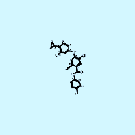 Cc1ccc(OC(=O)c2cc(Cl)c(Oc3cnc(C4CC4)c(Cl)c3)cc2F)cc1